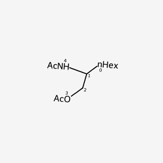 CCCCCCC(COC(C)=O)NC(C)=O